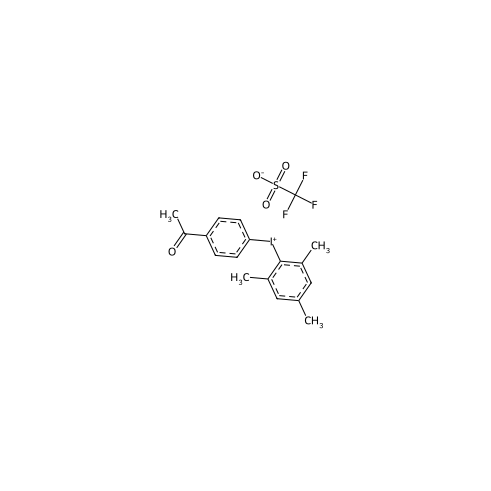 CC(=O)c1ccc([I+]c2c(C)cc(C)cc2C)cc1.O=S(=O)([O-])C(F)(F)F